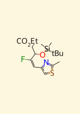 CCOC(=O)CC(O[Si](C)(C)C(C)(C)C)/C(F)=C\c1csc(C)n1